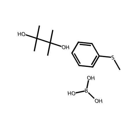 CC(C)(O)C(C)(C)O.CSc1ccccc1.OB(O)O